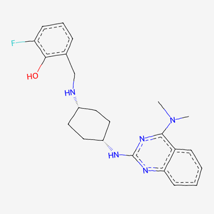 CN(C)c1nc(N[C@H]2CC[C@@H](NCc3cccc(F)c3O)CC2)nc2ccccc12